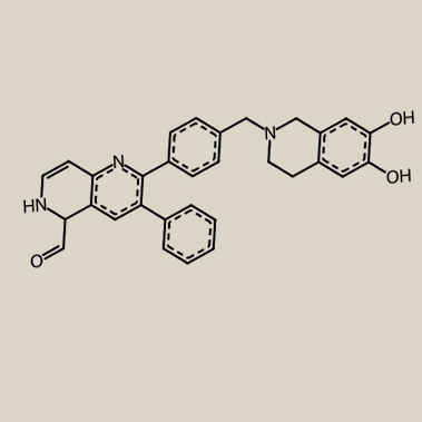 O=CC1NC=Cc2nc(-c3ccc(CN4CCc5cc(O)c(O)cc5C4)cc3)c(-c3ccccc3)cc21